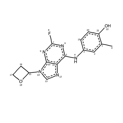 Cc1cc(Nc2nc(F)nc3c2ncn3C2CCO2)ccc1O